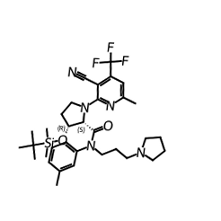 Cc1cccc(N(CCCN2CCCC2)C(=O)[C@@H]2[C@H](O[Si](C)(C)C(C)(C)C)CCN2c2nc(C)cc(C(F)(F)F)c2C#N)c1